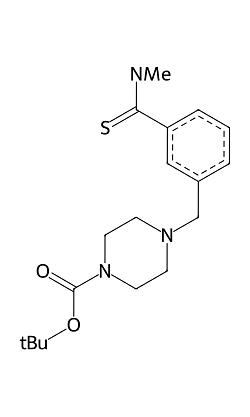 CNC(=S)c1cccc(CN2CCN(C(=O)OC(C)(C)C)CC2)c1